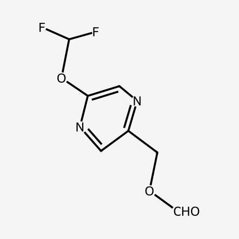 O=COCc1cnc(OC(F)F)cn1